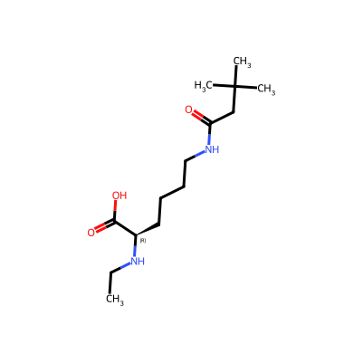 CCN[C@H](CCCCNC(=O)CC(C)(C)C)C(=O)O